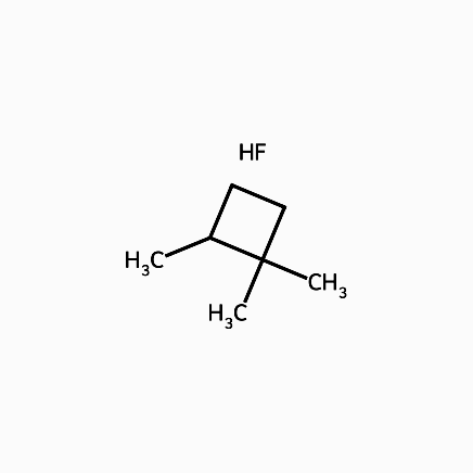 CC1CCC1(C)C.F